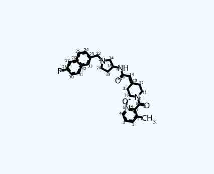 Cc1ccc[n+]([O-])c1C(=O)N1CCC(=CC(=O)NC2CCN(Cc3ccc4cc(F)ccc4c3)C2)CC1